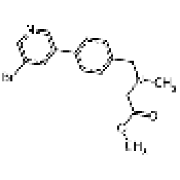 COC(=O)CN(C)Cc1ccc(-c2cncc(Br)c2)cc1